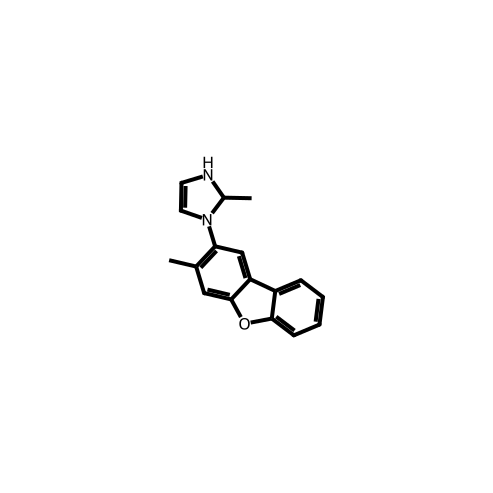 Cc1cc2oc3ccccc3c2cc1N1C=CNC1C